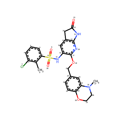 Cc1c(Cl)cccc1S(=O)(=O)Nc1cc2c(nc1OCc1ccc3c(c1)N(C)CCO3)NC(=O)C2